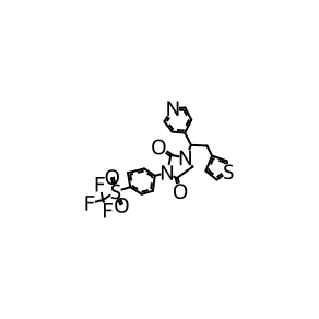 O=C1CN(C(Cc2ccsc2)c2ccncc2)C(=O)N1c1ccc(S(=O)(=O)C(F)(F)F)cc1